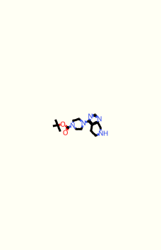 CC(C)(C)OC(=O)N1CCN(c2ncnc3c2CCNC3)CC1